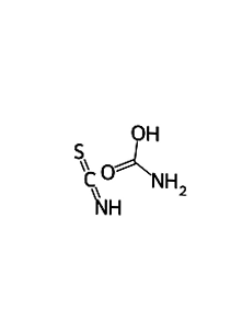 N=C=S.NC(=O)O